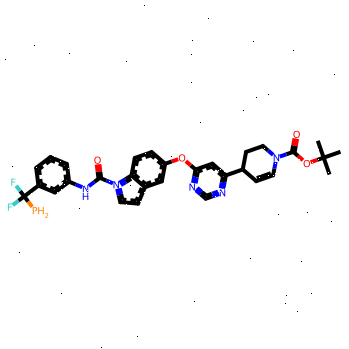 CC(C)(C)OC(=O)N1C=CC(c2cc(Oc3ccc4c(ccn4C(=O)Nc4cccc(C(F)(F)P)c4)c3)ncn2)CC1